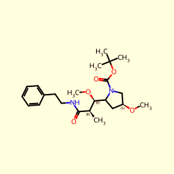 CO[C@H]1CC([C@H](OC)[C@@H](C)C(=O)NCCc2ccccc2)N(C(=O)OC(C)(C)C)C1